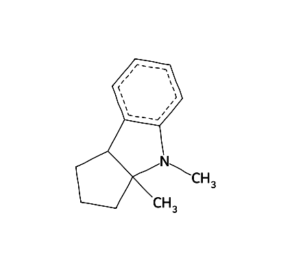 CN1c2ccccc2C2CCCC21C